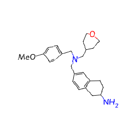 COc1ccc(CN(Cc2ccc3c(c2)CCC(N)C3)CC2CCOCC2)cc1